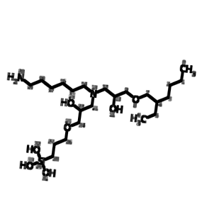 CCCCC(CC)COCC(O)CN(CCCCCCN)CC(O)COCCC[Si](O)(O)O